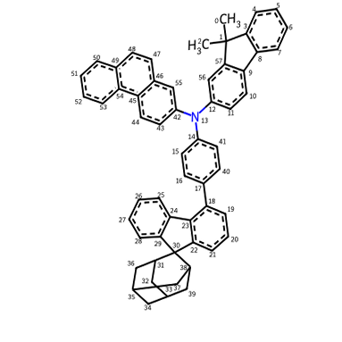 CC1(C)c2ccccc2-c2ccc(N(c3ccc(-c4cccc5c4-c4ccccc4C54C5CC6CC(C5)CC4C6)cc3)c3ccc4c(ccc5ccccc54)c3)cc21